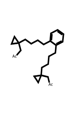 CC(=O)CC1(CCCCc2ccccc2CCCCC2(CC(C)=O)CC2)CC1